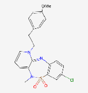 COc1ccc(CCN2C=CC=C3C2=Nc2ccc(Cl)cc2S(=O)(=O)N3C)cc1